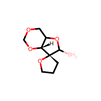 BC1OC2COCO[C@H]2[C@]12CCCO2